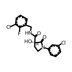 O=C(NCc1cccc(Cl)c1F)[C@]1(O)CCN(c2cccc(Cl)c2)C1=O